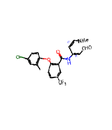 CN/C=C\C(=C/C=O)NC(=O)c1cc(C(F)(F)F)ccc1Oc1ccc(Cl)cc1C